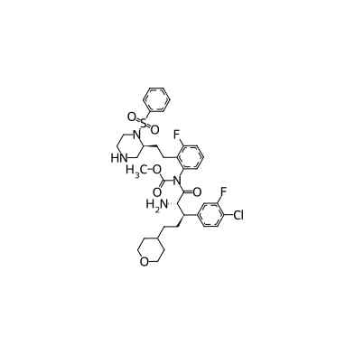 COC(=O)N(C(=O)[C@@H](N)[C@H](CCC1CCOCC1)c1ccc(Cl)c(F)c1)c1cccc(F)c1CC[C@H]1CNCCN1S(=O)(=O)c1ccccc1